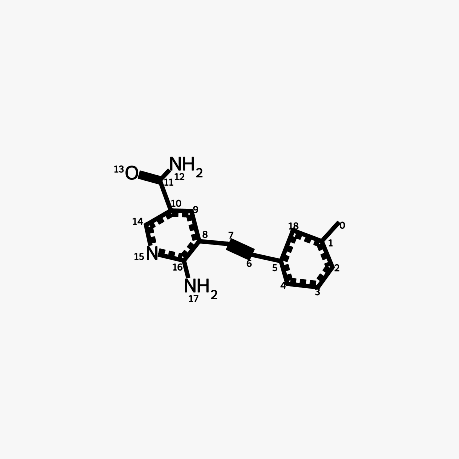 Cc1cccc(C#Cc2cc(C(N)=O)cnc2N)c1